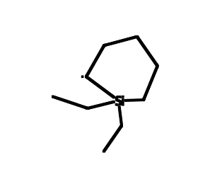 CC[Si]1(CC)[CH]CCCC1